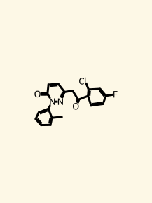 Cc1ccccc1-n1nc(CC(=O)c2ccc(F)cc2Cl)ccc1=O